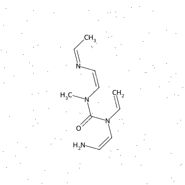 C=CN(/C=C\N)C(=O)N(C)/C=C\N=C/C